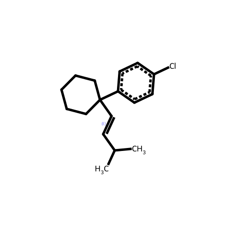 CC(C)/C=C/C1(c2ccc(Cl)cc2)CCCCC1